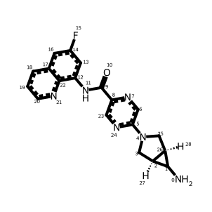 NC1[C@H]2CN(c3cnc(C(=O)Nc4cc(F)cc5cccnc45)cn3)C[C@@H]12